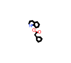 O=C(Cc1ccccc1)Oc1cccc2cccnc12